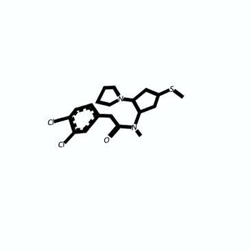 CSC1CC(N2CCCC2)C(N(C)C(=O)Cc2ccc(Cl)c(Cl)c2)C1